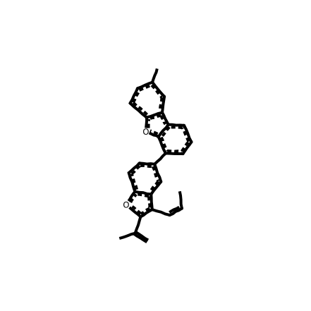 C=C(C)c1oc2ccc(-c3cccc4c3oc3ccc(C)cc34)cc2c1/C=C\C